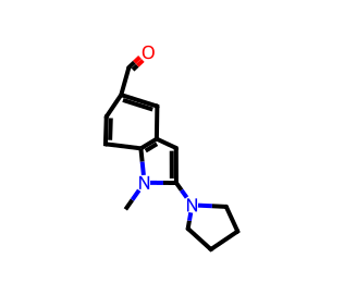 Cn1c(N2CCCC2)cc2cc(C=O)ccc21